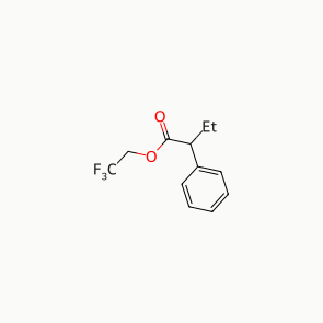 CCC(C(=O)OCC(F)(F)F)c1ccccc1